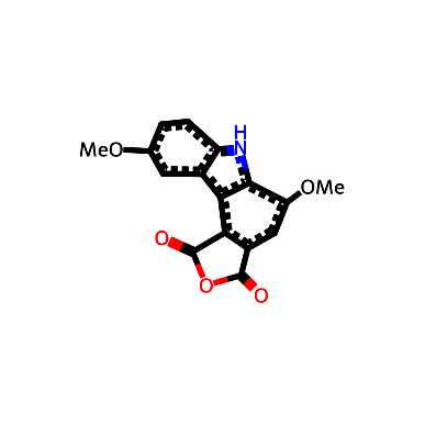 COc1ccc2[nH]c3c(OC)cc4c(c3c2c1)C(=O)OC4=O